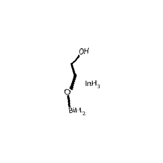 OCC[O][BiH2].[InH3]